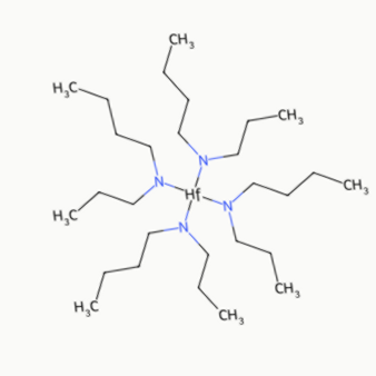 CCCC[N](CCC)[Hf]([N](CCC)CCCC)([N](CCC)CCCC)[N](CCC)CCCC